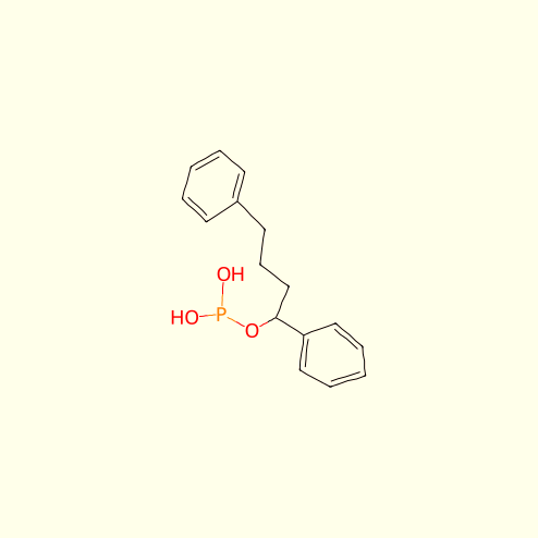 OP(O)OC(CCCc1ccccc1)c1ccccc1